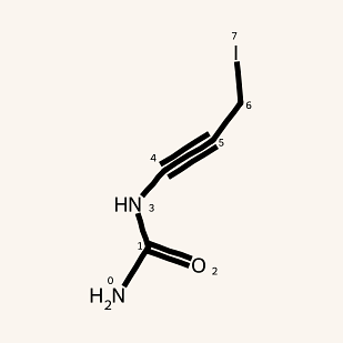 NC(=O)NC#CCI